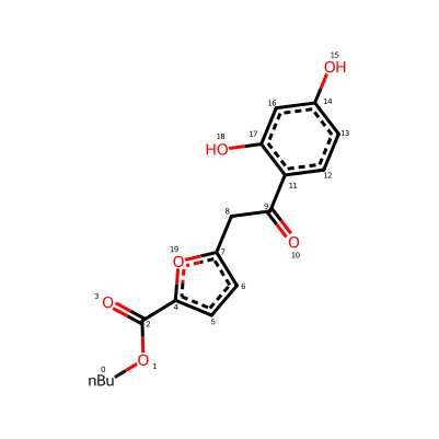 CCCCOC(=O)c1ccc(CC(=O)c2ccc(O)cc2O)o1